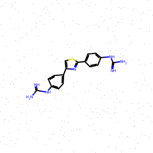 N=C(N)Nc1ccc(-c2csc(-c3ccc(NC(=N)N)cc3)n2)cc1